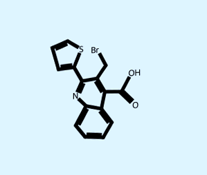 O=C(O)c1c(CBr)c(-c2cccs2)nc2ccccc12